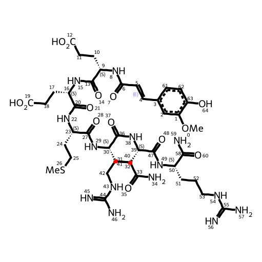 COc1cc(/C=C/C(=O)N[C@@H](CCC(=O)O)C(=O)N[C@@H](CCC(=O)O)C(=O)N[C@@H](CCSC)C(=O)N[C@@H](CCC(N)=O)C(=O)N[C@@H](CCCNC(=N)N)C(=O)N[C@@H](CCCNC(=N)N)C(N)=O)ccc1O